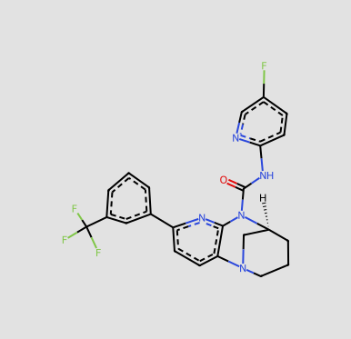 O=C(Nc1ccc(F)cn1)N1c2nc(-c3cccc(C(F)(F)F)c3)ccc2N2CCC[C@H]1C2